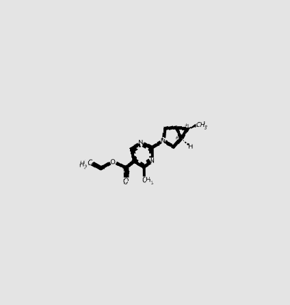 CCOC(=O)c1cnc(N2CC3[C@@H](C)[C@H]3C2)nc1C